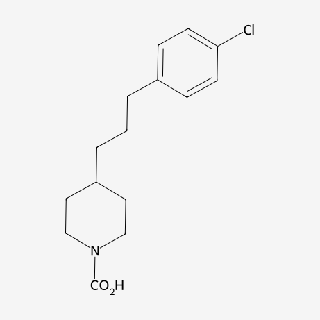 O=C(O)N1CCC(CCCc2ccc(Cl)cc2)CC1